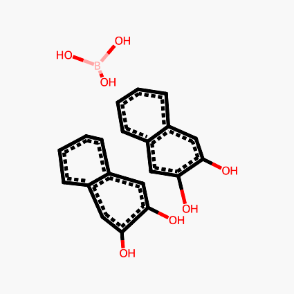 OB(O)O.Oc1cc2ccccc2cc1O.Oc1cc2ccccc2cc1O